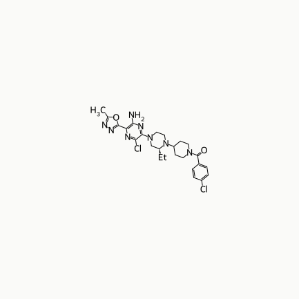 CC[C@H]1CN(c2nc(N)c(-c3nnc(C)o3)nc2Cl)CCN1C1CCN(C(=O)c2ccc(Cl)cc2)CC1